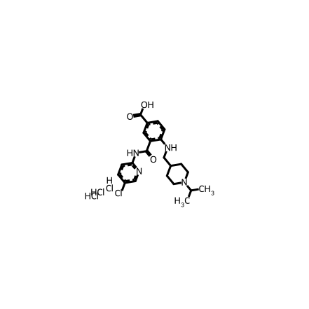 CC(C)N1CCC(CNc2ccc(C(=O)O)cc2C(=O)Nc2ccc(Cl)cn2)CC1.Cl.Cl.Cl